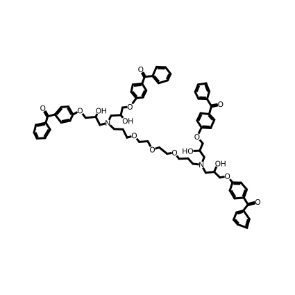 O=C(c1ccccc1)c1ccc(OCC(O)CN(CCCOCCOCCOCCCN(CC(O)COc2ccc(C(=O)c3ccccc3)cc2)CC(O)COc2ccc(C(=O)c3ccccc3)cc2)CC(O)COc2ccc(C(=O)c3ccccc3)cc2)cc1